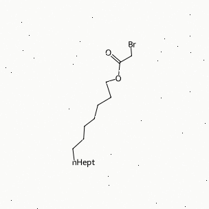 CCCCCCCCCCCCCCOC(=O)CBr